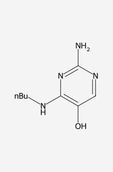 CCCCNc1nc(N)ncc1O